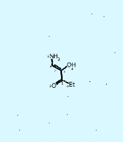 CCC(=O)/C(O)=C/N